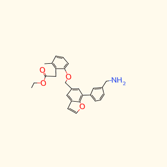 CCOC(=O)Cc1c(C)cccc1OCc1cc(-c2cccc(CN)c2)c2occc2c1